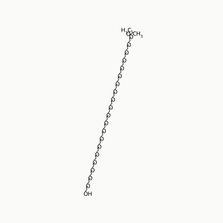 CCC(C)C(=O)OCCCOCCCOCCCOCCCOCCCOCCCOCCCOCCCOCCCOCCCOCCCOCCCOCCCOCCCOCCCOCCCOCCCOCCCOCCCOCCCO